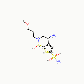 COCCCN1CC(N)c2cc(S(N)(=O)=O)sc2[S+]1[O-]